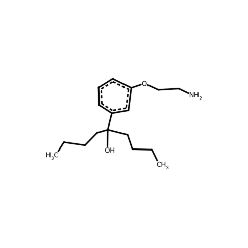 CCCCC(O)(CCCC)c1cccc(OCCN)c1